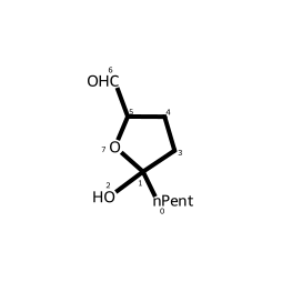 CCCCCC1(O)CCC(C=O)O1